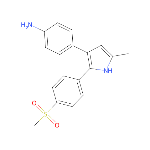 Cc1cc(-c2ccc(N)cc2)c(-c2ccc(S(C)(=O)=O)cc2)[nH]1